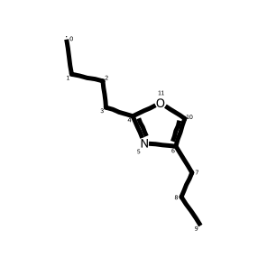 [CH2]CCCc1nc(CCC)co1